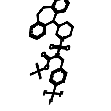 CC(C)(C)OC(=O)N(Cc1ccc(C(F)(F)F)cc1)S(=O)(=O)N1CCCC(C2c3ccccc3CCc3ccccc32)C1